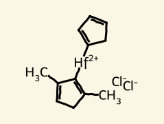 CC1=CCC(C)=[C]1[Hf+2][C]1=CC=CC1.[Cl-].[Cl-]